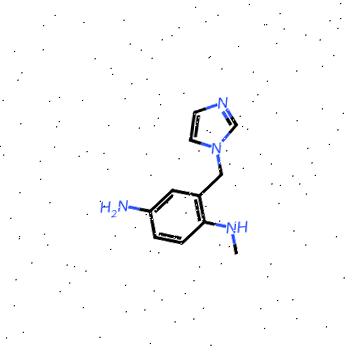 CNc1ccc(N)cc1Cn1ccnc1